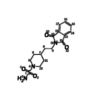 NS(=O)(=O)N1CCC(CCN2C(=O)c3ccccc3C2=O)CC1